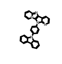 c1ccc2c(c1)c1ccccc1n2-c1ccc(-n2c3ncccc3c3nc4ccccn4c32)cc1